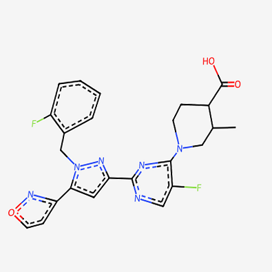 CC1CN(c2nc(-c3cc(-c4ccon4)n(Cc4ccccc4F)n3)ncc2F)CCC1C(=O)O